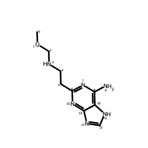 COCNCCc1nc(N)c2[nH]cnc2n1